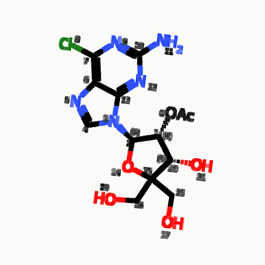 CC(=O)O[C@H]1[C@H](n2cnc3c(Cl)nc(N)nc32)OC(CO)(CO)[C@H]1O